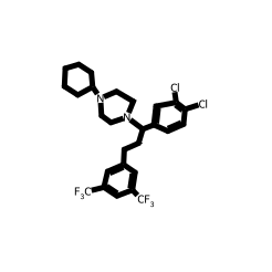 FC(F)(F)c1cc(C[CH]C(c2ccc(Cl)c(Cl)c2)N2CCN(C3CCCCC3)CC2)cc(C(F)(F)F)c1